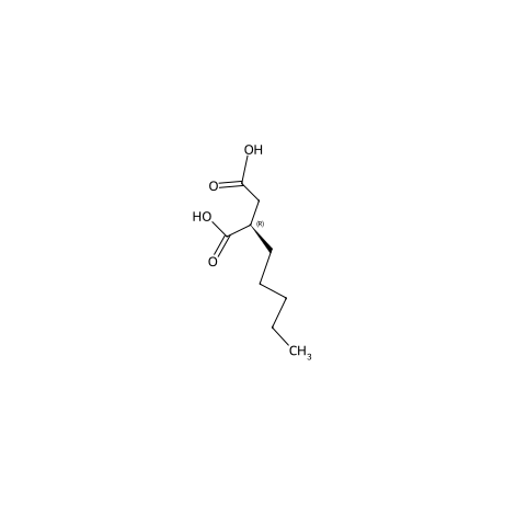 CCCCC[C@H](CC(=O)O)C(=O)O